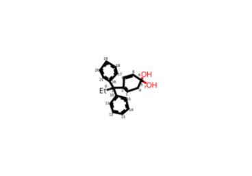 CCC(C1=CCC(O)(O)C=C1)(c1ccccc1)c1ccccc1